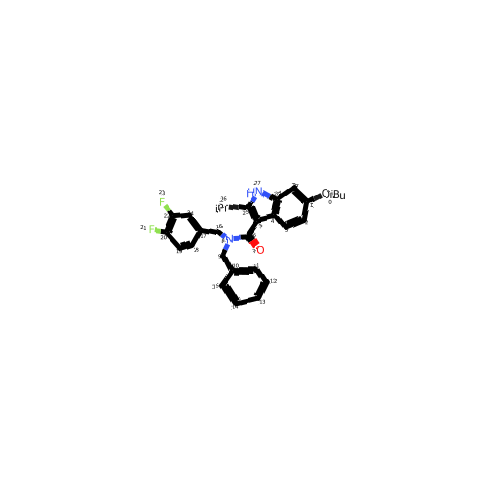 CC(C)COc1ccc2c(C(=O)N(Cc3ccccc3)Cc3ccc(F)c(F)c3)c(C(C)C)[nH]c2c1